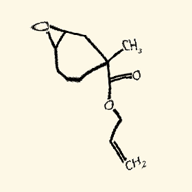 C=CCOC(=O)C1(C)CCC2OC2C1